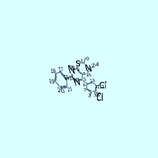 CC(Sc1cc(-c2ccc(Cl)c(Cl)c2)nc(-c2ccccc2)n1)N(C)C